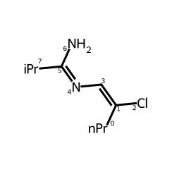 CCC/C(Cl)=C\N=C(/N)C(C)C